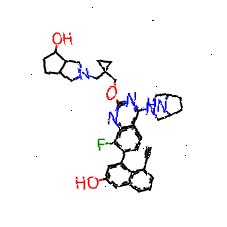 C#Cc1cccc2cc(O)cc(-c3ccc4c(N5CC6CCC(C5)N6)nc(OCC5(CN6CC7CCC(O)C7C6)CC5)nc4c3F)c12